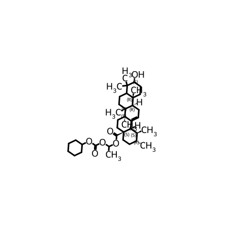 CC(OC(=O)OC1CCCCC1)OC(=O)[C@]12CC[C@@H](C)[C@H](C)[C@H]1C1=CC[C@@H]3[C@@]4(C)CC[C@H](O)C(C)(C)C4CC[C@@]3(C)[C@]1(C)CC2